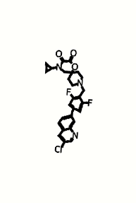 O=C1OC2(CCN(Cc3c(F)cc(-c4ccc5cc(Cl)cnc5c4)cc3F)CC2)CN(C2CC2)C1=O